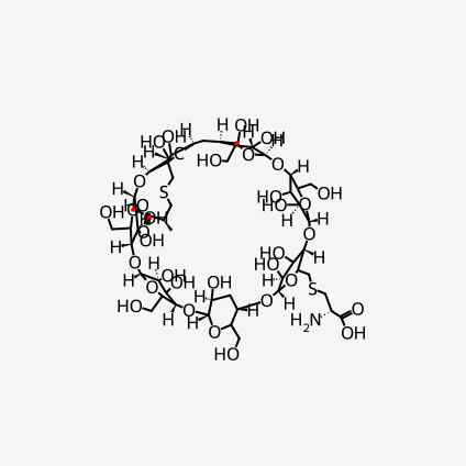 C[C@H](CSCC1C[C@@H]2C[C@@H]3C(CO)O[C@H](O[C@@H]4C(CO)O[C@H](O[C@@H]5C(CSC[C@@H](N)C(=O)O)O[C@H](O[C@H]6C[C@H](O)[C@H](OC6CO)O[C@@H]6C(CO)O[C@H](O[C@@H]7C(CO)O[C@H](O[C@H]1[C@H](O)C2O)C(O)[C@H]7O)[C@@H](O)C6O)[C@@H](O)C5O)[C@@H](O)C4O)[C@@H](O)C3O)C(=O)O